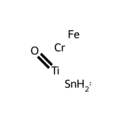 [Cr].[Fe].[O]=[Ti].[SnH2]